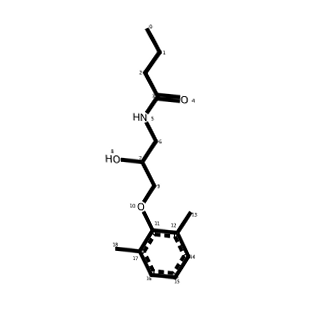 CCCC(=O)NCC(O)COc1c(C)c[c]cc1C